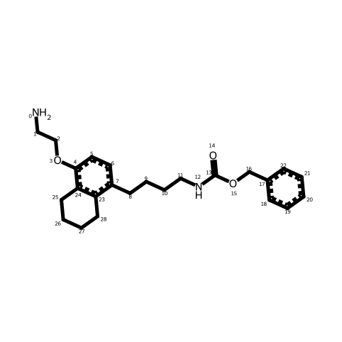 NCCOc1ccc(CCCCNC(=O)OCc2ccccc2)c2c1CCCC2